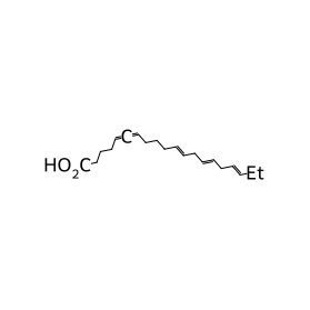 CCC=CCC=CCC=CCCCC=C=CCCCC(=O)O